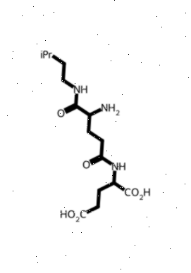 CC(C)CCNC(=O)C(N)CCC(=O)NC(CCC(=O)O)C(=O)O